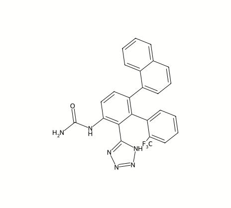 NC(=O)Nc1ccc(-c2cccc3ccccc23)c(-c2ccccc2C(F)(F)F)c1-c1nnn[nH]1